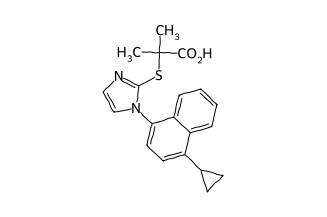 CC(C)(Sc1nccn1-c1ccc(C2CC2)c2ccccc12)C(=O)O